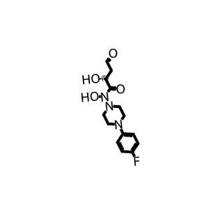 O=CC[C@@H](O)C(=O)N(O)N1CCN(c2ccc(F)cc2)CC1